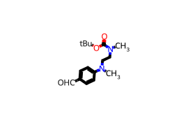 CN(CCN(C)c1ccc(C=O)cc1)C(=O)OC(C)(C)C